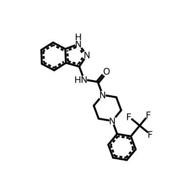 O=C(Nc1n[nH]c2ccccc12)N1CCN(c2ccccc2C(F)(F)F)CC1